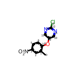 Cc1cc([N+](=O)[O-])ccc1Oc1cnc(Cl)nc1